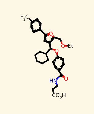 CCOCc1oc(-c2ccc(C(F)(F)F)cc2)cc1C(Oc1ccc(C(=O)NCCC(=O)O)cc1)C1CCCCC1